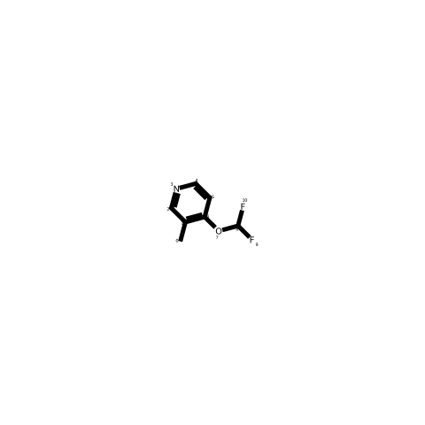 Cc1cnccc1OC(F)F